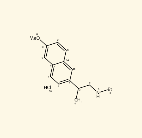 CCNCC(C)c1ccc2cc(OC)ccc2c1.Cl